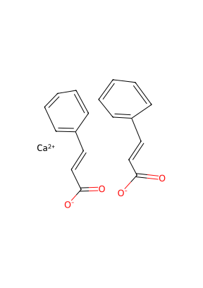 O=C([O-])C=Cc1ccccc1.O=C([O-])C=Cc1ccccc1.[Ca+2]